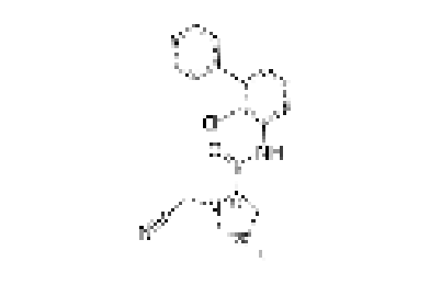 C[C@H]1C[C@@H](C(=O)Nc2cccc(-c3ccccc3)c2Cl)N(CC#N)C1